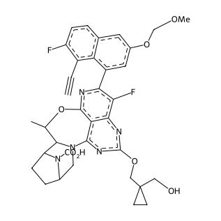 C#Cc1c(F)ccc2cc(OCOC)cc(-c3nc4c5c(nc(OCC6(CO)CC6)nc5c3F)N3CC5CCC(C3C(C)O4)N5C(=O)O)c12